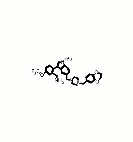 CCCCn1cc(-c2ccc(OC(F)(F)F)cc2CN)c2cc(CN3CCN(Cc4ccc5c(c4)OCCO5)CC3)ccc21